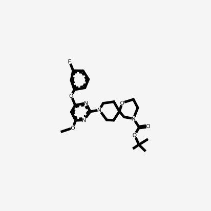 COc1cc(Oc2cccc(F)c2)nc(N2CCC3(CC2)CN(C(=O)OC(C)(C)C)CCO3)n1